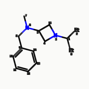 CCC(CC)N1CC(N(C)Cc2ccccc2)C1